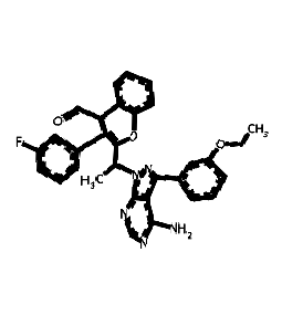 CCOc1cccc(-c2nn(C(C)C3=C(c4cccc(F)c4)C(C=O)c4ccccc4O3)c3ncnc(N)c23)c1